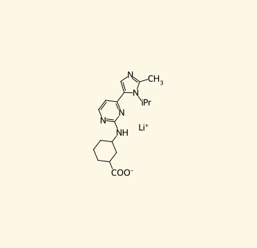 Cc1ncc(-c2ccnc(NC3CCCC(C(=O)[O-])C3)n2)n1C(C)C.[Li+]